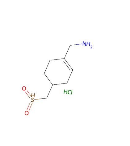 Cl.NCC1=CCC(C[SH](=O)=O)CC1